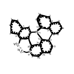 Cc1c2c(cc3ccccc13)N1c3cccc4cccc(c34)-c3ccc4cc[n+](C)c-2c4c31